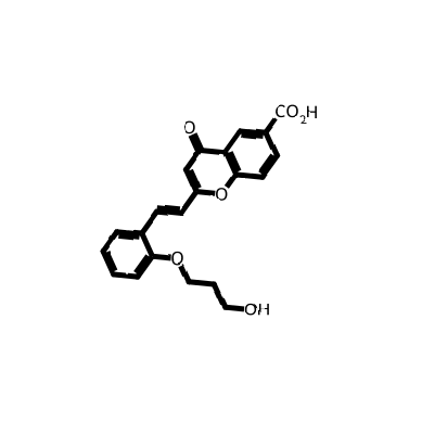 O=C(O)c1ccc2oc(C=Cc3ccccc3OCCCO)cc(=O)c2c1